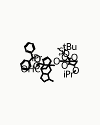 CC(C)OC1C2OC3(OCC45CC6C(C)CCC6C6(C=O)CC4C=C(C(C)C)C65C(=O)OC(c4ccccc4)c4ccccc4)OC2OC1C3O[Si](C)(C)C(C)(C)C